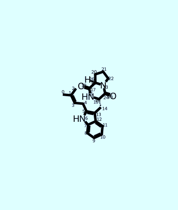 CC(C)=CCc1[nH]c2ccccc2c1C[C@@H]1NC(=O)[C@@H]2CCCN2C1=O